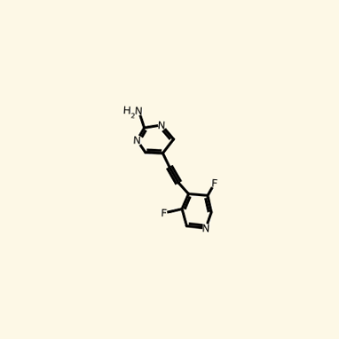 Nc1ncc(C#Cc2c(F)cncc2F)cn1